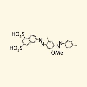 COc1cc(N=Nc2ccc3c(S(=O)(=O)O)cc(S(=O)(=O)O)cc3c2)c(C)cc1N=Nc1ccc(C)cc1